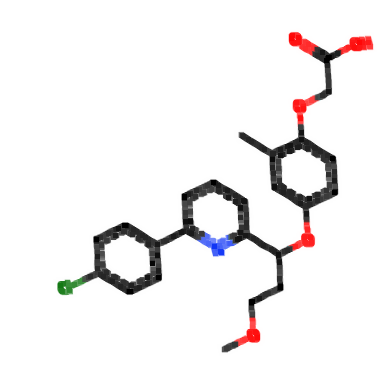 COCCC(Oc1ccc(OCC(=O)O)c(C)c1)c1cccc(-c2ccc(Cl)cc2)n1